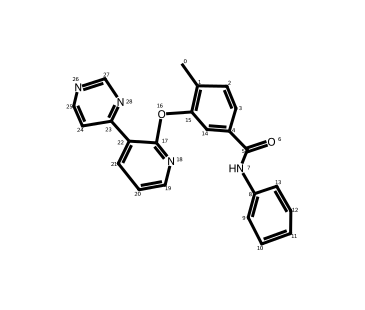 Cc1ccc(C(=O)Nc2ccccc2)cc1Oc1ncccc1-c1ccncn1